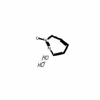 Cl.Cl.[O-][N+]1=NC=CC=CC1